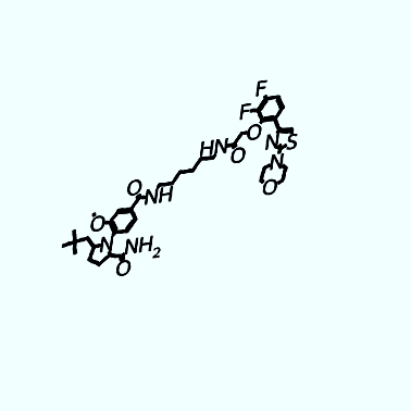 COc1cc(C(=O)NCCCCCCNC(=O)COc2c(-c3csc(N4CCOCC4)n3)ccc(F)c2F)ccc1N1C(CC(C)(C)C)CCC1C(N)=O